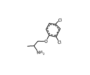 CC(N)COc1ccc(Cl)cc1Cl